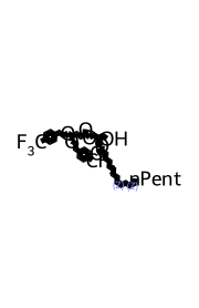 CCCCC/C=C\C/C=C\CCCCCCCC(=O)OCC(CO)COC(=O)CCC(OCCc1ccc(C(F)(F)F)cc1)OCCc1ccc(C(F)(F)F)cc1